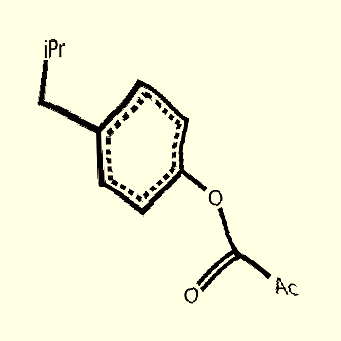 CC(=O)C(=O)Oc1ccc(CC(C)C)cc1